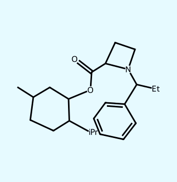 CCC(c1ccccc1)N1CCC1C(=O)OC1CC(C)CCC1C(C)C